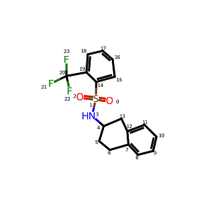 O=S(=O)(NC1CCc2ccccc2C1)c1ccccc1C(F)(F)F